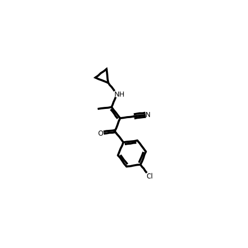 C/C(NC1CC1)=C(/C#N)C(=O)c1ccc(Cl)cc1